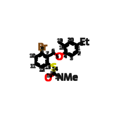 CCc1ccc(OCc2c(Br)cccc2SC(=O)NC)c(C)c1